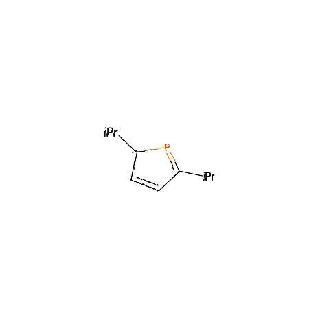 CC(C)[C]1C=CC(C(C)C)=P1